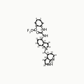 O=C(Nc1ccccc1OC(F)(F)F)Nc1cccc2c1ccn2Cc1ccnc2[nH]ccc12